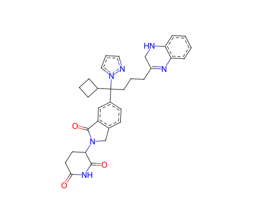 O=C1CCC(N2Cc3ccc(C(CCCC4=Nc5ccccc5NC4)(C4CCC4)n4cccn4)cc3C2=O)C(=O)N1